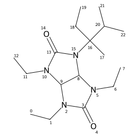 CCN1C(=O)N(CC)C2C1N(CC)C(=O)N2C(C)(CC)C(C)C